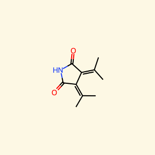 CC(C)=C1C(=O)NC(=O)C1=C(C)C